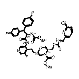 CC(C)(C)OC(=O)N[C@H](C(=O)Nc1cncc(F)c1CC[C@@H]1CN(C(=O)OC(C)(C)C)[C@H](COC(=O)NCc2cccc(Cl)n2)CO1)C(c1ccc(F)cc1)c1ccc(F)cc1